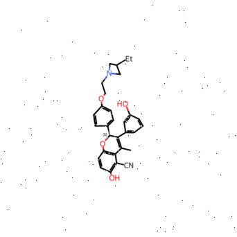 CCC1CN(CCOc2ccc([C@@H]3Oc4ccc(O)c(C#N)c4C(C)=C3c3cccc(O)c3)cc2)C1